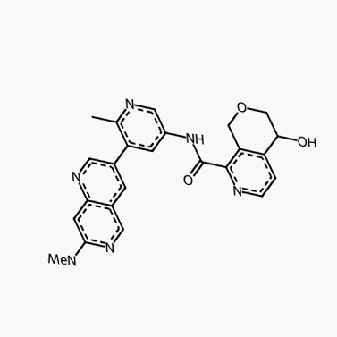 CNc1cc2ncc(-c3cc(NC(=O)c4nccc5c4COCC5O)cnc3C)cc2cn1